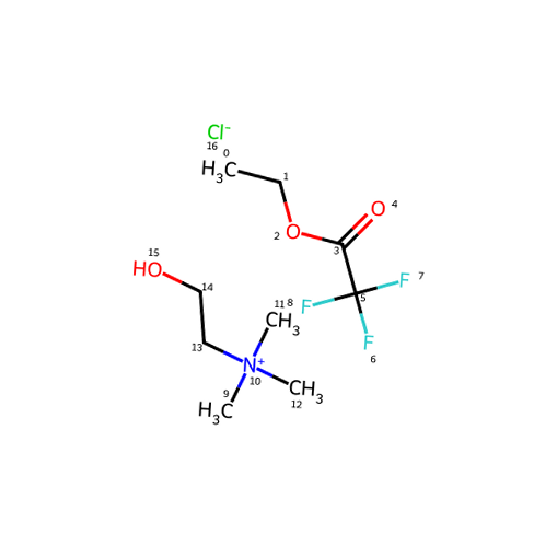 CCOC(=O)C(F)(F)F.C[N+](C)(C)CCO.[Cl-]